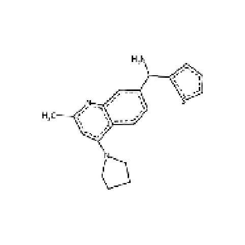 Cc1cc(N2CCCC2)c2ccc(C(N)c3cccs3)cc2n1